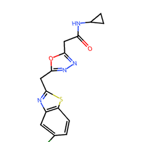 O=C(Cc1nnc(Cc2nc3cc(Cl)ccc3s2)o1)NC1CC1